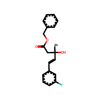 CC(C)C(O)(C=Cc1cccc(F)c1)CC(=O)OCc1ccccc1